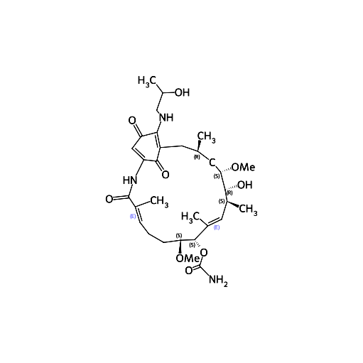 CO[C@H]1C[C@H](C)CC2=C(NCC(C)O)C(=O)C=C(NC(=O)/C(C)=C/CC[C@H](OC)[C@@H](OC(N)=O)/C(C)=C/[C@H](C)[C@H]1O)C2=O